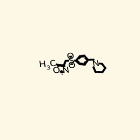 Cc1o[c]nc1CS(=O)(=O)c1ccc(CN2CCCCC2)cc1